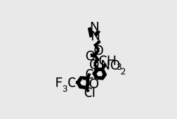 CC(Oc1cc(Oc2c(Cl)cc(C(F)(F)F)cc2Cl)ccc1[N+](=O)[O-])C(=O)OCCn1ccnc1